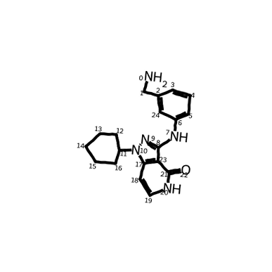 NCc1cccc(Nc2nn(C3CCCCC3)c3cc[nH]c(=O)c23)c1